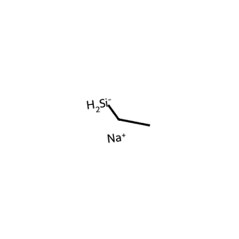 CC[SiH2-].[Na+]